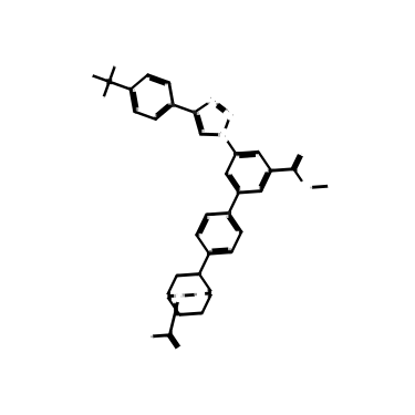 COC(=O)c1cc(-c2ccc(C3CC4CCC3CN4C(=O)O)cc2)cc(-n2cc(-c3ccc(C(F)(F)F)cc3)nn2)c1